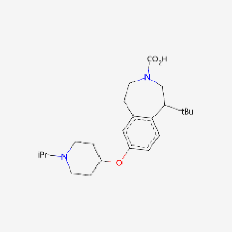 CC(C)N1CCC(Oc2ccc3c(c2)CCN(C(=O)O)CC3C(C)(C)C)CC1